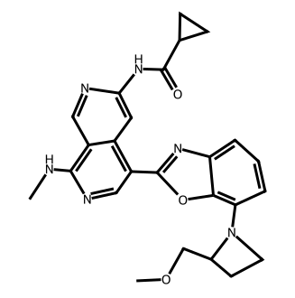 CNc1ncc(-c2nc3cccc(N4CCC4COC)c3o2)c2cc(NC(=O)C3CC3)ncc12